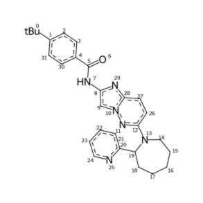 CC(C)(C)c1ccc(C(=O)Nc2cn3nc(N4CCCCCC4c4ccccn4)ccc3n2)cc1